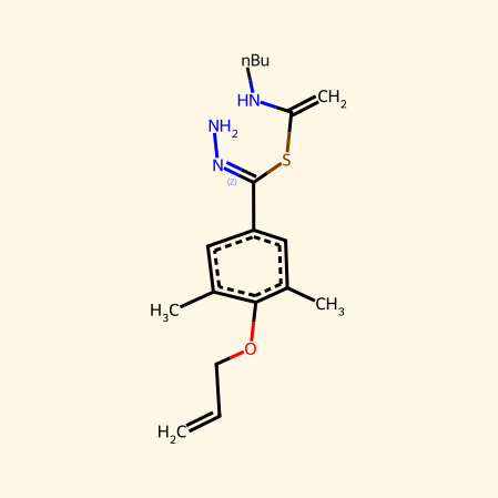 C=CCOc1c(C)cc(/C(=N/N)SC(=C)NCCCC)cc1C